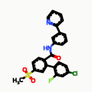 CS(=O)(=O)c1ccc(C(=O)Nc2cccc(-c3ccccn3)c2)c(-c2ccc(Cl)cc2F)c1